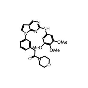 COc1cc(Nc2ncc3ccn(-c4cccc(CC(=O)N5CCOCC5)c4)c3n2)cc(OC)c1OC